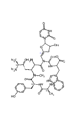 C[C@H](N)C(=O)CC(C(N)C(=O)N(/C=C1\CC(O)C(n2ccc(=O)[nH]c2=O)O1)C(=O)NC(Cc1c[nH]c2ccccc12)C(=O)O)N(C)C(=O)[C@H](Cc1cccc(O)c1)NC(=O)[C@H](C)N